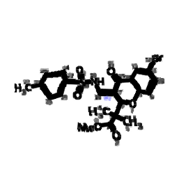 COC(=O)C(C)(C)C1Oc2ccc(Br)cc2C(=O)/C1=C\NS(=O)(=O)c1ccc(C)cc1